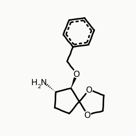 N[C@H]1CCC2(OCCO2)[C@@H]1OCc1ccccc1